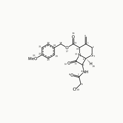 C=C1CS[C@H]2C(NC(=O)CCl)C(=O)N2C1C(=O)OCc1ccc(OC)cc1